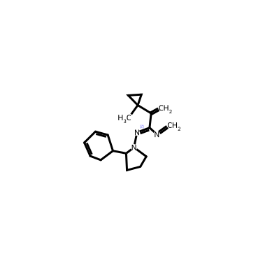 C=N/C(=N\N1CCCC1C1C=CC=CC1)C(=C)C1(C)CC1